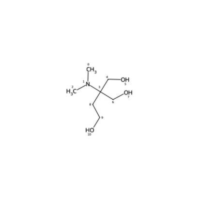 CN(C)C(CO)(CO)CCO